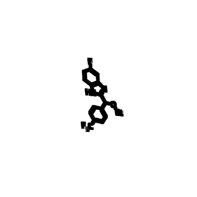 CCOC(c1ccc(C(F)(F)F)cc1)c1nc2cc(F)ccc2[nH]1